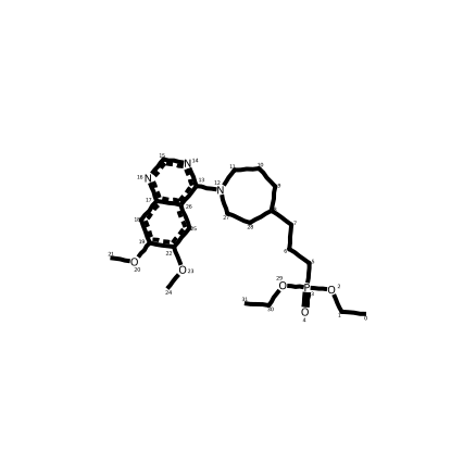 CCOP(=O)(CCCC1CCCN(c2ncnc3cc(OC)c(OC)cc23)CC1)OCC